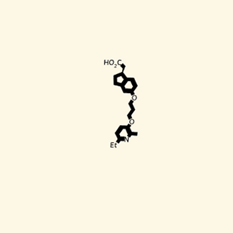 CCc1ccc(OCCCOc2ccc3c(c2)CC[C@H]3CC(=O)O)c(C)n1